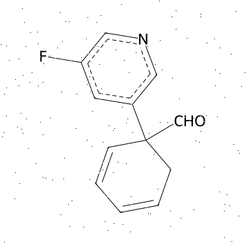 O=CC1(c2cncc(F)c2)C=CC=CC1